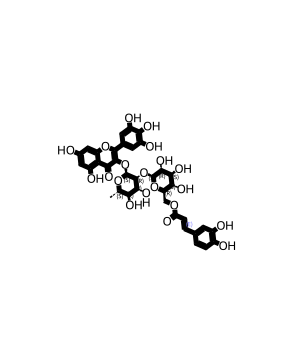 C[C@@H]1O[C@@H](Oc2c(-c3cc(O)c(O)c(O)c3)oc3cc(O)cc(O)c3c2=O)[C@H](O[C@@H]2O[C@H](COC(=O)/C=C/c3ccc(O)c(O)c3)[C@@H](O)[C@H](O)[C@H]2O)[C@H](O)[C@H]1O